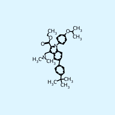 CCOC(=O)c1c(CN(C)C)c2cc(-c3ccc(C(C)(C)C)cc3)ccc2n1-c1ccc(OC(C)C)cc1